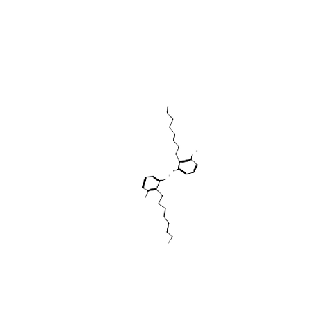 CCCCCCCCc1c(O)cccc1SSc1cccc(O)c1CCCCCCCC